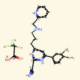 Cc1ccc(-c2cc(CCCNCc3ccccn3)nc(C#N)n2)cc1C.O=C(O)C(F)(F)F